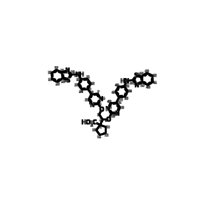 O=C(O)C1(C(COc2ncc(-c3ccc(Nc4nc5ccccc5s4)cc3)cn2)Oc2ncc(-c3ccc(Nc4nc5ccccc5s4)cc3)cn2)CCCC1